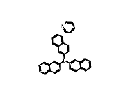 c1ccc2cc(B(c3ccc4ccccc4c3)c3ccc4ccccc4c3)ccc2c1.c1ccncc1